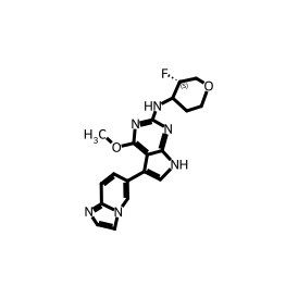 COc1nc(NC2CCOC[C@H]2F)nc2[nH]cc(-c3ccc4nccn4c3)c12